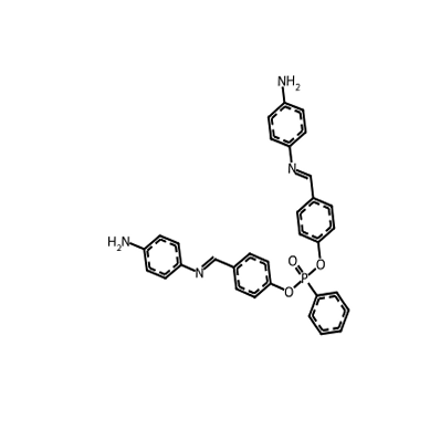 Nc1ccc(N=Cc2ccc(OP(=O)(Oc3ccc(C=Nc4ccc(N)cc4)cc3)c3ccccc3)cc2)cc1